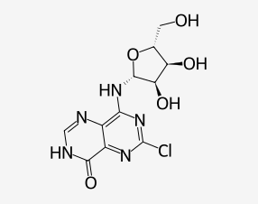 O=c1[nH]cnc2c(N[C@@H]3O[C@H](CO)[C@@H](O)[C@H]3O)nc(Cl)nc12